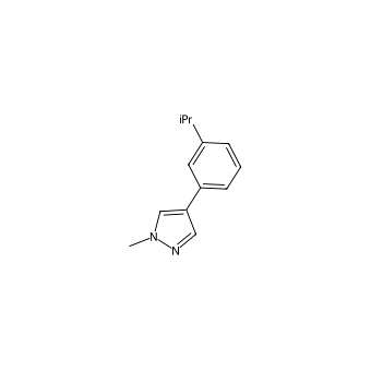 CC(C)c1cccc(-c2cnn(C)c2)c1